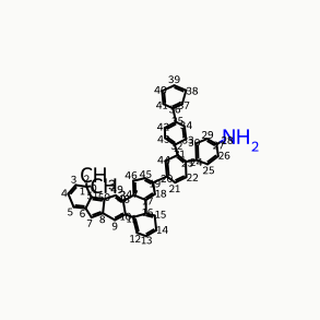 CC1(C)C=CC=C2C=c3cc4c5ccccc5c5cc(-c6ccc(-c7ccc(N)cc7)c(-c7ccc(-c8ccccc8)cc7)c6)ccc5c4cc3=C21